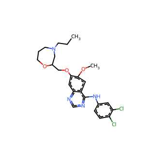 CCCN1CCCOC(COc2cc3ncnc(Nc4ccc(Cl)c(Cl)c4)c3cc2OC)C1